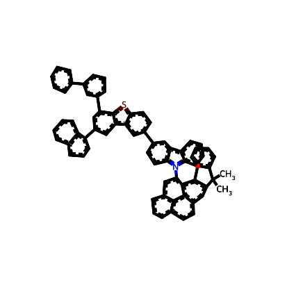 CC1(C)c2ccccc2-c2c1cc1ccc3cccc4cc(-n5c6ccccc6c6cc(-c7ccc8sc9c(-c%10cccc(-c%11ccccc%11)c%10)cc(-c%10cccc%11ccccc%10%11)cc9c8c7)ccc65)c2c1c34